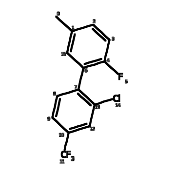 Cc1ccc(F)c(-c2ccc(C(F)(F)F)cc2Cl)c1